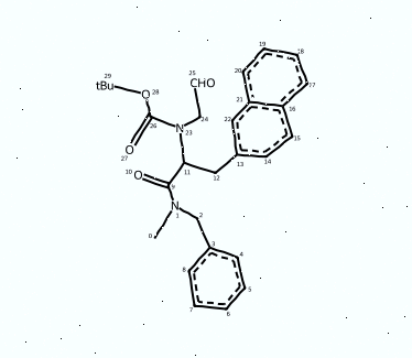 CN(Cc1ccccc1)C(=O)C(Cc1ccc2ccccc2c1)N(CC=O)C(=O)OC(C)(C)C